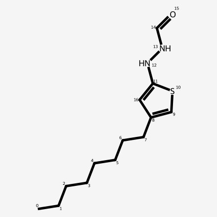 CCCCCCCCc1csc(NNC=O)c1